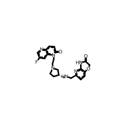 O=C1COc2ccc(CNC[C@@H]3CCN(CCn4c(=O)ccc5ncc(F)cc54)C3)nc2N1